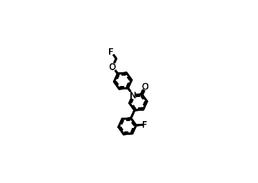 O=c1ccc(-c2ccccc2F)cn1-c1ccc(OCF)cc1